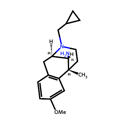 COc1ccc2c(c1)[C@@]1(C)CCN(CC3CC3)[C@H](C2)[C@H]1N